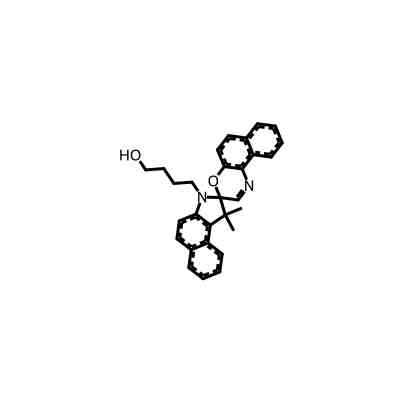 CC1(C)c2c(ccc3ccccc23)N(CCCCO)C12C=Nc1c(ccc3ccccc13)O2